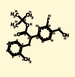 Cc1ccncc1CN(C(=O)OC(C)(C)C)c1ccc(CO)c(F)n1